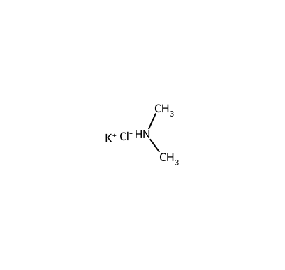 CNC.[Cl-].[K+]